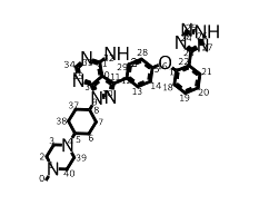 CN1CCN(C2CCC(n3nc(-c4ccc(Oc5ccccc5-c5nn[nH]n5)cc4)c4c(N)ncnc43)CC2)CC1